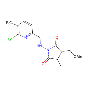 COCC1C(=O)N(NCc2ccc(C(F)(F)F)c(Cl)n2)C(=O)C1C